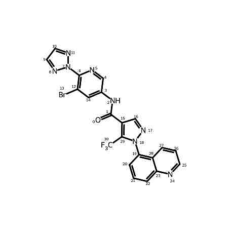 O=C(Nc1cnc(-n2nccn2)c(Br)c1)c1cnn(-c2cccc3ncccc23)c1C(F)(F)F